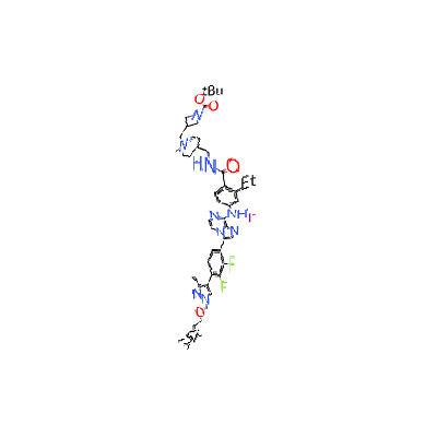 CCc1cc(Nc2nccn3c(-c4ccc(-c5cn(COCC[Si](C)(C)C)nc5C)c(F)c4F)cnc23)ccc1C(=O)NCC1CC[N+](C)(CC2CN(C(=O)OC(C)(C)C)C2)CC1.[I-]